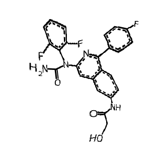 NC(=O)N(c1cc2cc(NC(=O)CO)ccc2c(-c2ccc(F)cc2)n1)c1c(F)cccc1F